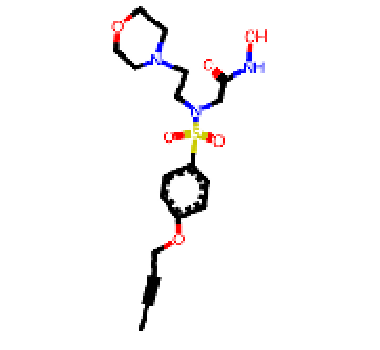 CC#CCOc1ccc(S(=O)(=O)N(CCN2CCOCC2)CC(=O)NO)cc1